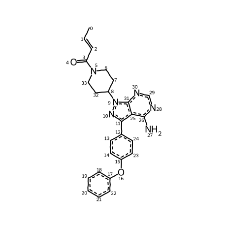 C/C=C/C(=O)N1CCC(n2nc(-c3ccc(Oc4ccccc4)cc3)c3c(N)ncnc32)CC1